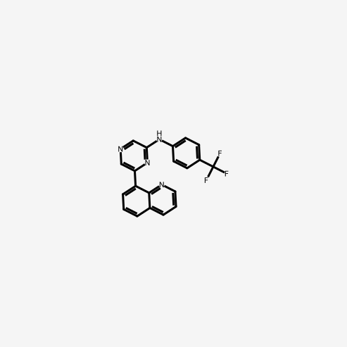 FC(F)(F)c1ccc(Nc2cncc(-c3cccc4cccnc34)n2)cc1